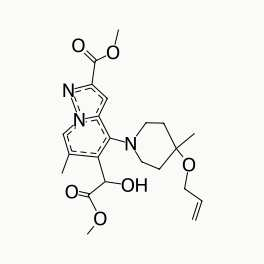 C=CCOC1(C)CCN(c2c(C(O)C(=O)OC)c(C)cn3nc(C(=O)OC)cc23)CC1